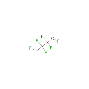 FCC(F)(F)C(F)(F)OF